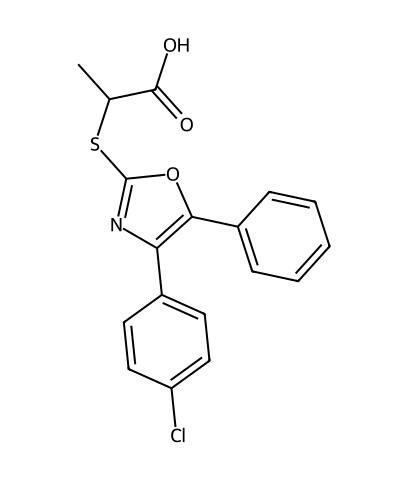 CC(Sc1nc(-c2ccc(Cl)cc2)c(-c2ccccc2)o1)C(=O)O